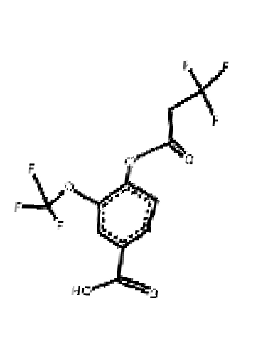 O=C(CC(F)(F)F)Oc1ccc(C(=O)O)cc1OC(F)(F)F